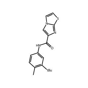 Cc1ccc(NC(=O)c2cn3ccsc3n2)cc1C(C)(C)C